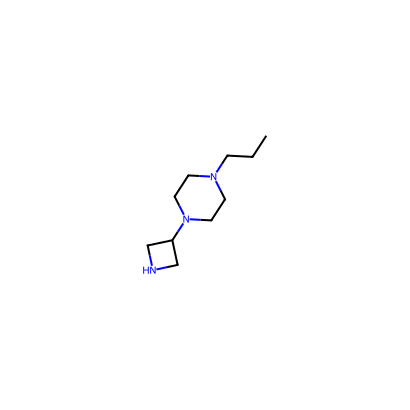 CCCN1CCN(C2CNC2)CC1